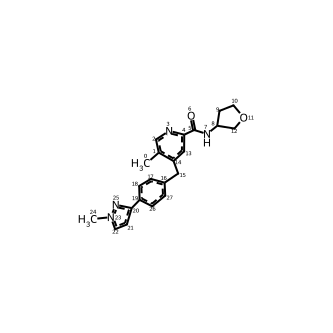 Cc1cnc(C(=O)NC2CCOC2)cc1Cc1ccc(-c2ccn(C)n2)cc1